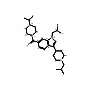 CC(C)CN1CCC(c2cn(CC(F)F)c3cc(C(=O)N4CCN(C(C)C)CC4)ccc23)CC1